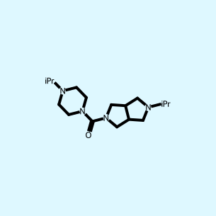 CC(C)N1CCN(C(=O)N2CC3CN(C(C)C)CC3C2)CC1